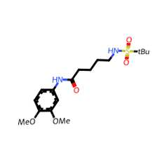 COc1ccc(NC(=O)CCCCNS(=O)(=O)C(C)(C)C)cc1OC